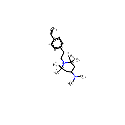 C=Cc1ccc(CCN2C(C)(C)CC(N(C)C)CC2(C)C)cc1